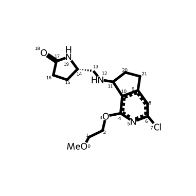 COCCOc1nc(Cl)cc2c1C(NC[C@@H]1CCC(=O)N1)CC2